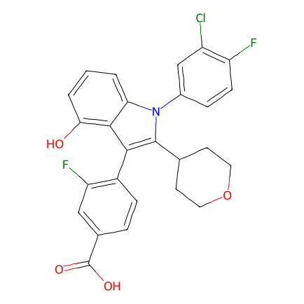 O=C(O)c1ccc(-c2c(C3CCOCC3)n(-c3ccc(F)c(Cl)c3)c3cccc(O)c23)c(F)c1